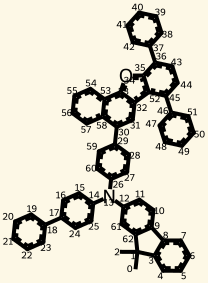 CC1(C)c2ccccc2-c2ccc(N(c3ccc(-c4ccccc4)cc3)c3ccc(-c4cc5c(oc6c(-c7ccccc7)ccc(-c7ccccc7)c65)c5ccccc45)cc3)cc21